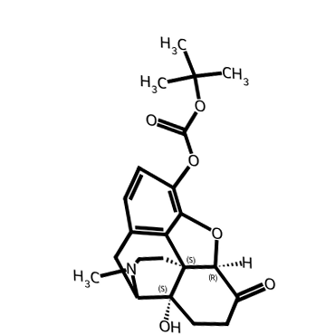 CN1CC[C@]23c4c5ccc(OC(=O)OC(C)(C)C)c4O[C@H]2C(=O)CC[C@@]3(O)C1C5